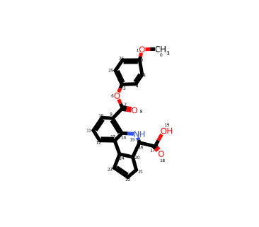 COc1ccc(OC(=O)c2cccc3c2NC(C(=O)O)C2CC=CC32)cc1